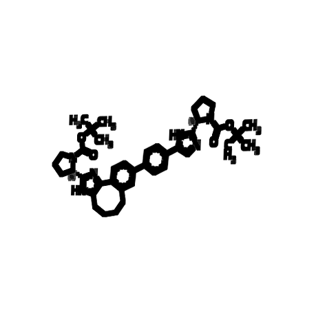 CC(C)(C)OC(=O)N1CCC[C@H]1c1ncc(-c2ccc(-c3ccc4c(c3)CCCCc3[nH]c([C@@H]5CCCN5C(=O)OC(C)(C)C)nc3-4)cc2)[nH]1